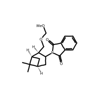 COCOC[C@H]1C(N2C(=O)c3ccccc3C2=O)C[C@@H]2C[C@H]1C2(C)C